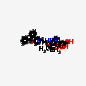 CC(C)C1=C(OCCCN2CCC(OC(c3ccccc3)c3ccccc3)CC2)NN2N=CN(/C(=C/C(=O)O)C(=O)O)C2=C1